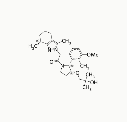 COc1cccc([C@@H]2[C@H](OCC(C)(C)O)CCN2C(=O)Cn2nc3c(c2C)CCC[C@@H]3C)c1C